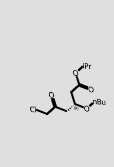 CCCCO[C@H](CC(=O)CCl)CC(=O)OC(C)C